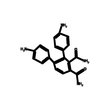 NC(=O)c1ccc(-c2ccc(N)cc2)c(-c2ccc(N)cc2)c1C(N)=O